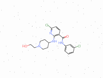 O=C(Nc1cccc(Cl)c1)c1ccc(Cl)nc1NC1CCN(CCO)CC1